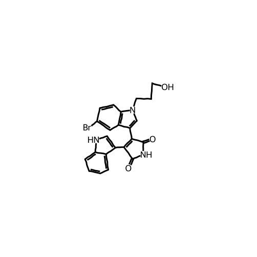 O=C1NC(=O)C(c2cn(CCCO)c3ccc(Br)cc23)=C1c1c[nH]c2ccccc12